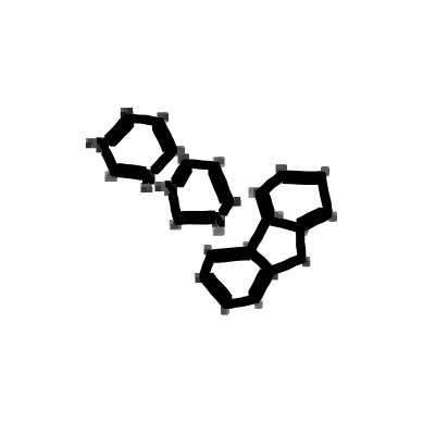 c1ccc2c(c1)Cc1ccccc1-2.c1cncnc1.c1cncnc1